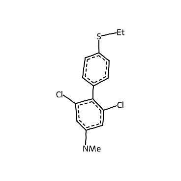 CCSc1ccc(-c2c(Cl)cc(NC)cc2Cl)cc1